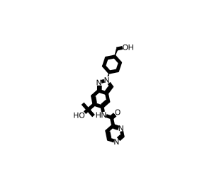 CC(C)(O)c1cc2nn([C@H]3CC[C@H](CO)CC3)cc2cc1NC(=O)c1ccncn1